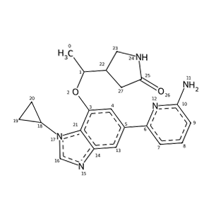 CC(Oc1cc(-c2cccc(N)n2)cc2ncn(C3CC3)c12)C1CNC(=O)C1